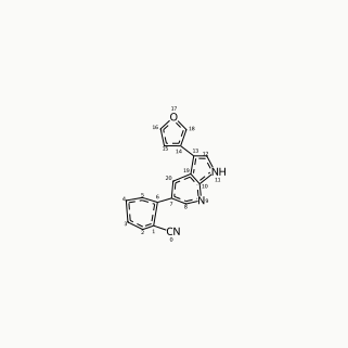 N#Cc1ccccc1-c1cnc2[nH]cc(-c3ccoc3)c2c1